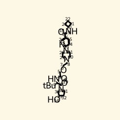 CC(C)(C)[C@H](NC(=O)COCCN1CCN(c2ccc(C(=O)NC3CCC3)cn2)CC1)C(=O)N1CC[C@@H](O)C1